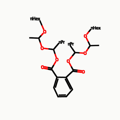 CCCCCCOC(C)OC(CCC)OC(=O)c1ccccc1C(=O)OC(CCC)OC(C)OCCCCCC